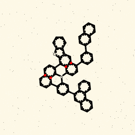 c1ccc(-c2ccc(-c3cc4ccccc4c4ccccc34)cc2N(c2ccc(-c3cccc(-c4ccc5ccccc5c4)c3)cc2)c2ccccc2-c2cccc3c2oc2ccccc23)cc1